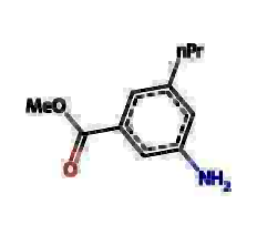 CCCc1cc(N)cc(C(=O)OC)c1